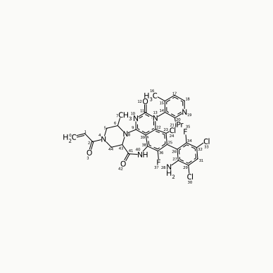 C=CC(=O)N1CC(C)N2c3nc(=O)n(-c4c(C)ccnc4C(C)C)c4c(Cl)c(-c5c(N)c(Cl)cc(Cl)c5F)c(F)c(c34)NC(=O)C2C1